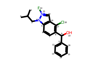 CC(C)Cn1c2ccc(C(O)c3ccccc3)c(Cl)c2c[n+]1F